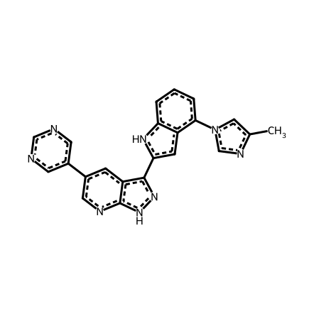 Cc1cn(-c2cccc3[nH]c(-c4n[nH]c5ncc(-c6cncnc6)cc45)cc23)cn1